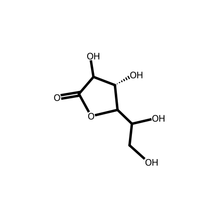 O=C1OC(C(O)CO)[C@@H](O)C1O